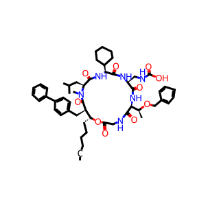 CCCCCC[C@H]1OC(=O)CNC(=O)[C@H]([C@H](C)OCc2ccccc2)NC(=O)[C@H](CNC(=O)O)NC(=O)[C@H](C2CCCCC2)NC(=O)[C@H](CC(C)C)N(C)C(=O)[C@@H]1Cc1ccc(-c2ccccc2)cc1